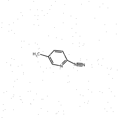 Cc1ccc([N+]#N)nc1